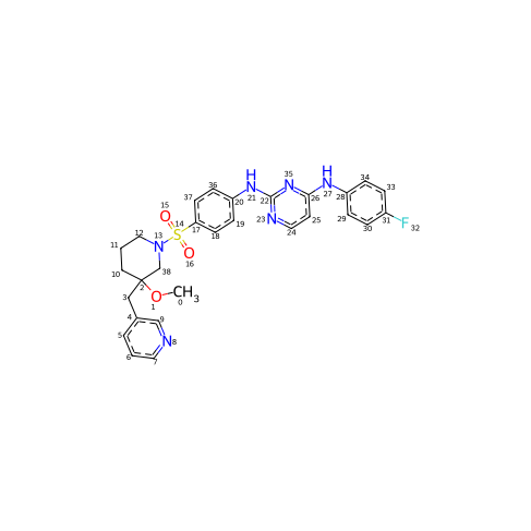 COC1(Cc2cccnc2)CCCN(S(=O)(=O)c2ccc(Nc3nccc(Nc4ccc(F)cc4)n3)cc2)C1